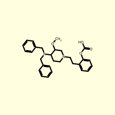 COC1CN(CCc2ccccc2OC(=O)O)CCC1N(Cc1ccccc1)Cc1ccccc1